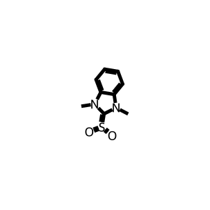 Cn1c(=S(=O)=O)n(C)c2ccccc21